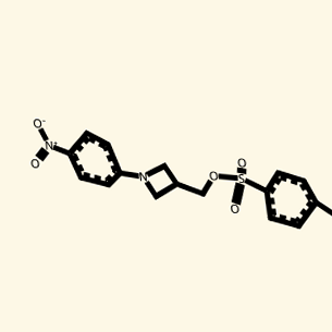 Cc1ccc(S(=O)(=O)OCC2CN(c3ccc([N+](=O)[O-])cc3)C2)cc1